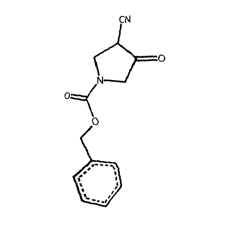 N#CC1CN(C(=O)OCc2ccccc2)CC1=O